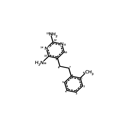 Cc1ccccc1CCc1cnc(N)nc1N